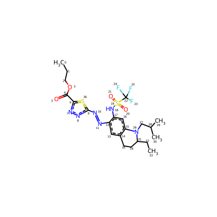 CCCOC(=O)c1nnc(N=Nc2cc3c(cc2NS(=O)(=O)C(F)(F)F)N(CC(C)C)C(CC)CC3)s1